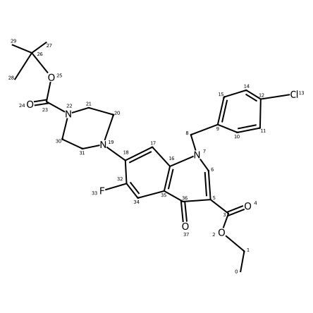 CCOC(=O)c1cn(Cc2ccc(Cl)cc2)c2cc(N3CCN(C(=O)OC(C)(C)C)CC3)c(F)cc2c1=O